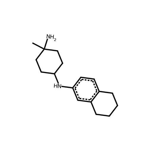 CC1(N)CCC(Nc2ccc3c(c2)CCCC3)CC1